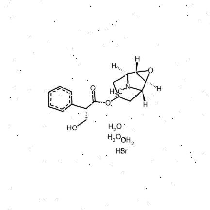 Br.CN1[C@H]2CC(OC(=O)[C@H](CO)c3ccccc3)C[C@H]1[C@@H]1O[C@H]12.O.O.O